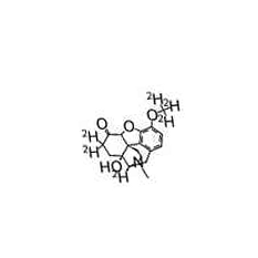 [2H]C([2H])([2H])Oc1ccc2c3c1OC1C(=O)C([2H])([2H])C[C@]4(O)[C@@]31CCN(C)[C@]4([2H])C2